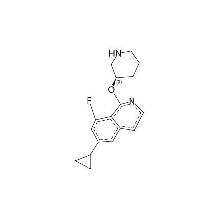 Fc1cc(C2CC2)cc2ccnc(O[C@@H]3CCCNC3)c12